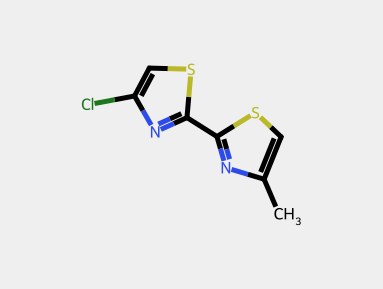 Cc1csc(-c2nc(Cl)cs2)n1